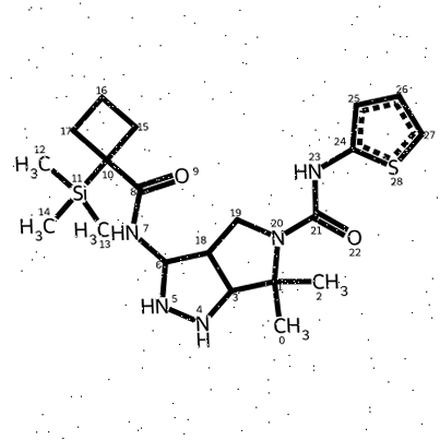 CC1(C)C2NNC(NC(=O)C3([Si](C)(C)C)CCC3)C2CN1C(=O)Nc1cccs1